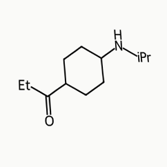 CCC(=O)C1CCC(NC(C)C)CC1